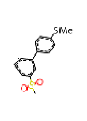 CSc1ccc(-c2[c]ccc(S(C)(=O)=O)c2)cc1